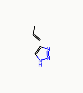 C=CC.c1c[nH]nn1